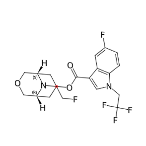 O=C(OC1C[C@H]2COC[C@@H](C1)N2CCF)c1cn(CC(F)(F)F)c2ccc(F)cc12